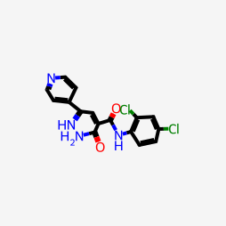 N=C(/C=C(\C(N)=O)C(=O)Nc1ccc(Cl)cc1Cl)c1ccncc1